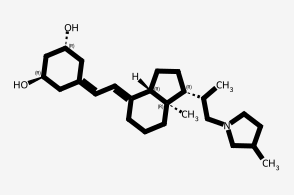 CC1CCN(CC(C)[C@H]2CC[C@H]3C(=CC=C4C[C@@H](O)C[C@H](O)C4)CCC[C@]23C)C1